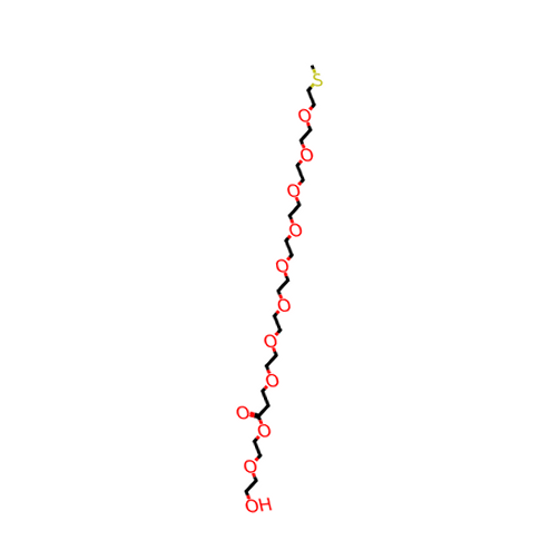 CSCCOCCOCCOCCOCCOCCOCCOCCOCCC(=O)OCCOCCO